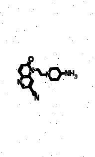 N#Cc1cnc2ccc(=O)n(CCN3CCC(N)CC3)c2c1